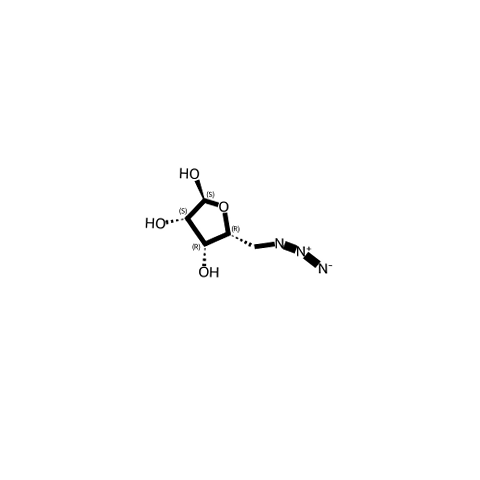 [N-]=[N+]=NC[C@H]1O[C@H](O)[C@@H](O)[C@H]1O